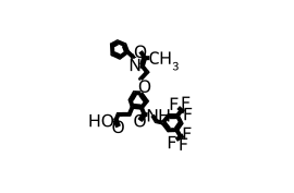 Cc1oc(-c2ccccc2)nc1CCOc1ccc(CCC(=O)O)c(C(=O)NCc2cc(C(F)(F)F)cc(C(F)(F)F)c2)c1